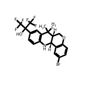 CC1(C)c2cc(C(O)(C(F)(F)F)C(F)(F)F)ccc2N[C@H]2c3cc(Br)ccc3OC[C@H]21